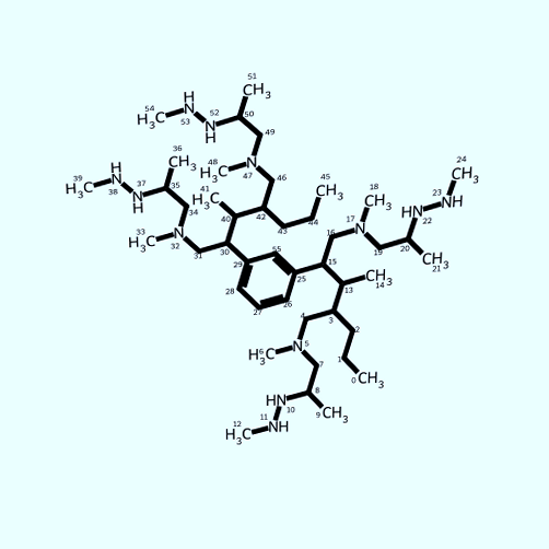 CCCC(CN(C)CC(C)NNC)C(C)C(CN(C)CC(C)NNC)c1cccc(C(CN(C)CC(C)NNC)C(C)C(CCC)CN(C)CC(C)NNC)c1